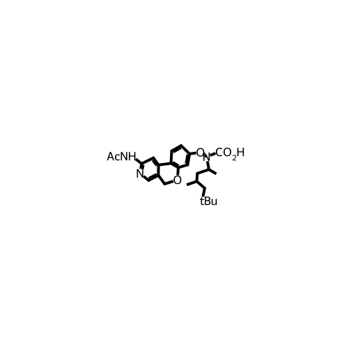 CC(=O)Nc1cc2c(cn1)COc1cc(ON(C(=O)O)C(C)CC(C)CC(C)(C)C)ccc1-2